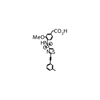 COc1cc(CC(=O)O)ccc1NS(=O)(=O)c1csc(C#Cc2cccc(C)c2)n1